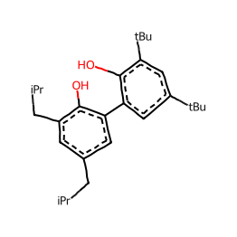 CC(C)Cc1cc(CC(C)C)c(O)c(-c2cc(C(C)(C)C)cc(C(C)(C)C)c2O)c1